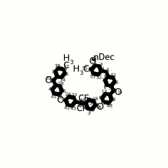 CCCCCCCCCCOc1cc(Cc2ccc(C(=O)c3ccc(Oc4ccc(C(c5ccc(Oc6ccc(C(=O)c7ccc(C)cc7)cc6)cc5)(C(F)(F)F)C(F)(F)F)cc4)cc3)cc2)ccc1C